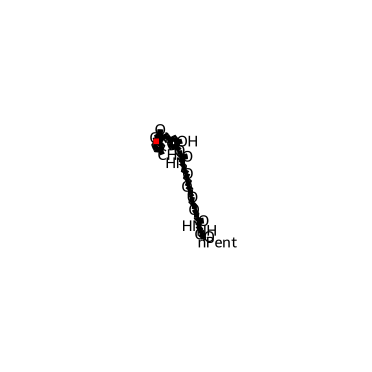 CCCCCC(=O)ONNC(=O)CCOCCOCCOCCOCCNC(=O)COc1ccc(Cn2c(=O)oc3ccc(C)cc32)cc1O